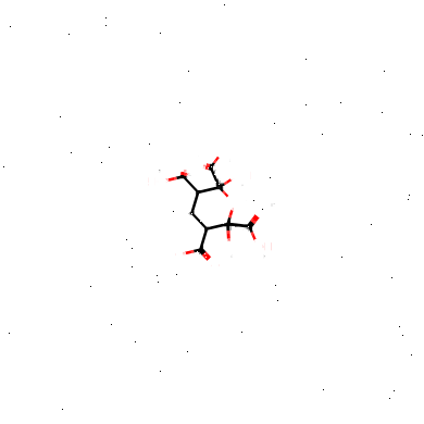 O=C(O)C1CC(C(=O)O)C(O)(C(=O)O)OC1(O)C(=O)O